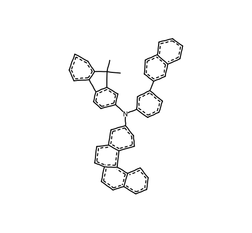 CC1(C)c2ccccc2-c2ccc(N(c3cccc(-c4ccc5ccccc5c4)c3)c3ccc4c(ccc5ccc6ccccc6c54)c3)cc21